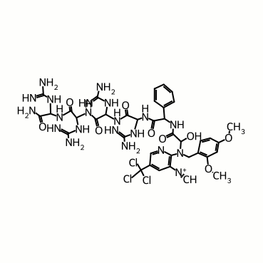 C#[N+]c1cc(C(Cl)(Cl)Cl)cnc1N(Cc1ccc(OC)cc1OC)C(O)C(=O)NC(C(=O)NC(NC(=N)N)C(=O)NC(NC(=N)N)C(=O)NC(NC(=N)N)C(=O)NC(NC(=N)N)C(N)=O)c1ccccc1